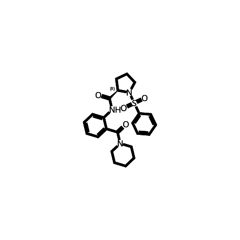 O=C(Nc1ccccc1C(=O)N1CCCCC1)[C@H]1CCCN1S(=O)(=O)c1ccccc1